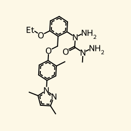 CCOc1cccc(N(N)C(=O)N(C)N)c1COc1ccc(-n2nc(C)cc2C)cc1C